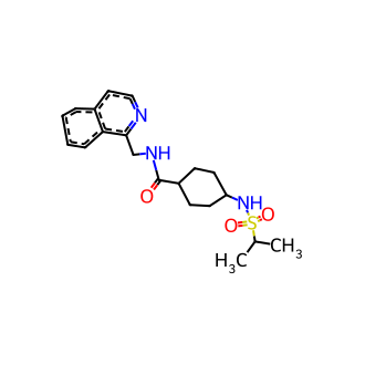 CC(C)S(=O)(=O)NC1CCC(C(=O)NCc2nccc3ccccc23)CC1